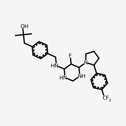 CC(C)(O)Cc1ccc(CNC2NCNC(N3CCCC3c3ccc(C(F)(F)F)cc3)C2F)cc1